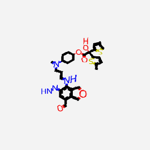 Cc1ccc([C@@](O)(C(=O)O[C@H]2CC[C@H](N(C)CCCNc3c(N=N)cc(C=O)c4c3COC4)CC2)c2cccs2)s1